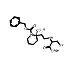 COC(=O)C(CC(C)C)NCC[C@]1(C(=O)O)CCCCN1C(=O)OCc1ccccc1